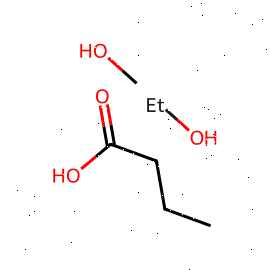 CCCC(=O)O.CCO.CO